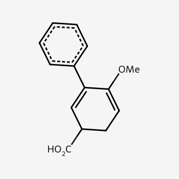 COC1=CCC(C(=O)O)C=C1c1ccccc1